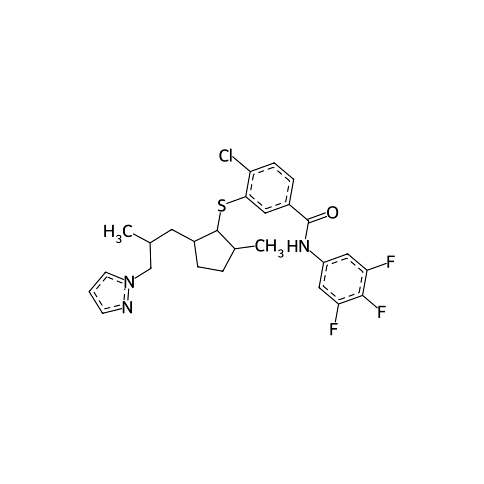 CC(CC1CCC(C)C1Sc1cc(C(=O)Nc2cc(F)c(F)c(F)c2)ccc1Cl)Cn1cccn1